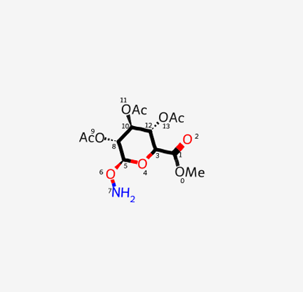 COC(=O)C1O[C@@H](ON)[C@H](OC(C)=O)[C@@H](OC(C)=O)[C@@H]1OC(C)=O